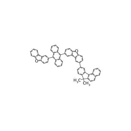 CC1(C)c2ccc(-c3ccc4oc5ccc(-c6c7ccccc7c(-c7ccc8oc9ccccc9c8c7)c7ccccc67)cc5c4c3)cc2-c2c1ccc1ccccc21